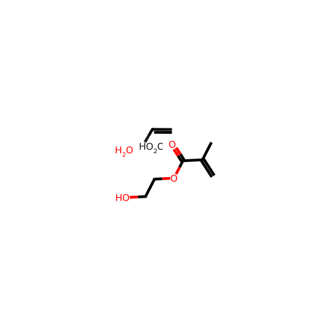 C=C(C)C(=O)OCCO.C=CC(=O)O.O